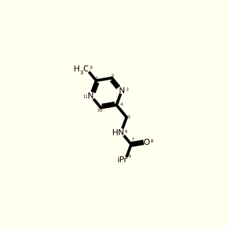 Cc1cnc(CNC(=O)C(C)C)cn1